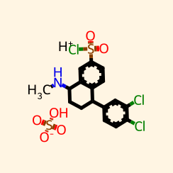 CNC1CCC(c2ccc(Cl)c(Cl)c2)c2ccc(S(=O)(=O)Cl)cc21.O=S(=O)([O-])O.[H+]